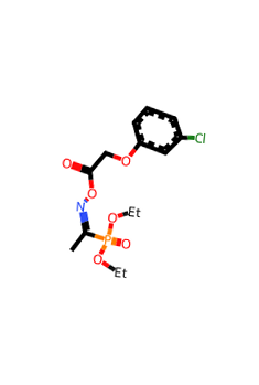 CCOP(=O)(OCC)C(C)=NOC(=O)COc1cccc(Cl)c1